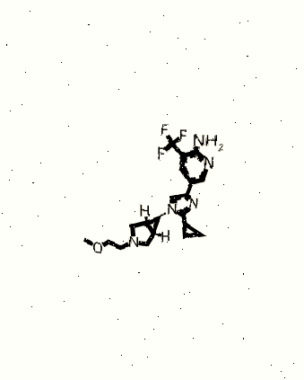 COCCN1C[C@@H]2[C@H](C1)[C@@H]2n1cc(-c2cnc(N)c(C(F)(F)F)c2)nc1C1CC1